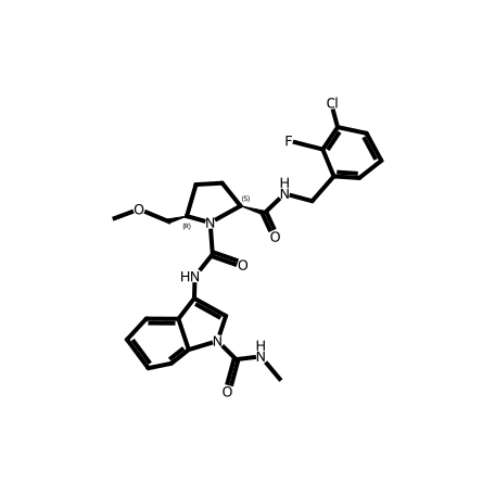 CNC(=O)n1cc(NC(=O)N2[C@@H](COC)CC[C@H]2C(=O)NCc2cccc(Cl)c2F)c2ccccc21